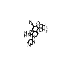 CC1(C)C(=O)C(C#N)=C[C@@]2(P)C(=N)N(c3ccncn3)CC=C12